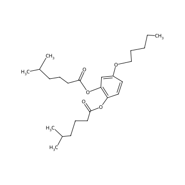 CCCCCOc1ccc(OC(=O)CCCC(C)C)c(OC(=O)CCCC(C)C)c1